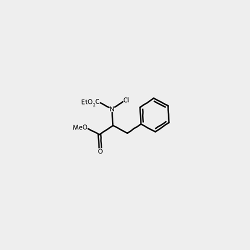 CCOC(=O)N(Cl)C(Cc1ccccc1)C(=O)OC